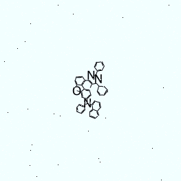 Cc1c(-c2cccc3oc4cc(N(c5ccccc5)c5cccc6ccccc56)ccc4c23)nc(-c2ccccc2)nc1C1C=CC=CC1